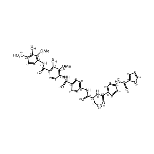 COc1c(NC(=O)c2ccc(NC(=O)c3ccc(NC(=O)[C@H](CC#N)NC(=O)c4ccc(NC(=O)c5ccco5)cc4)cc3)c(OC)c2O)ccc(C(=O)O)c1O